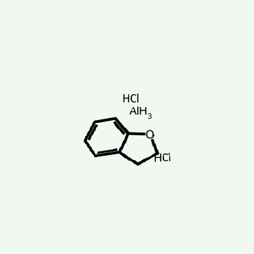 Cl.Cl.[AlH3].c1ccc2c(c1)CCO2